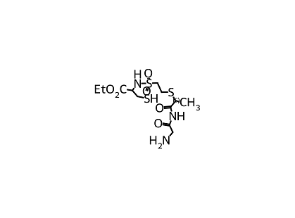 CCOC(=O)C(CS)NS(=O)(=O)CCS[C@@H](C)C(=O)NC(=O)CN